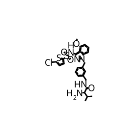 COc1cccc2c1c(NS(=O)(=O)c1ccc(Cl)s1)nn2Cc1cccc(CNC(=O)C(N)C(C)C)c1